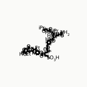 CCc1c2c(nc3ccc(OC(=O)N(CCN(C)C(=O)OCc4ccc(NC(=O)[C@H](CCCNC(N)=O)NC(=O)[C@@H](NC(=O)CCC(=O)C(C)C)C(C)C)cc4)CCS(=O)(=O)O)cc13)-c1cc3c(c(=O)n1C2)COC(=O)[C@]3(O)CC